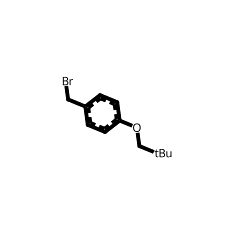 CC(C)(C)COc1ccc(CBr)cc1